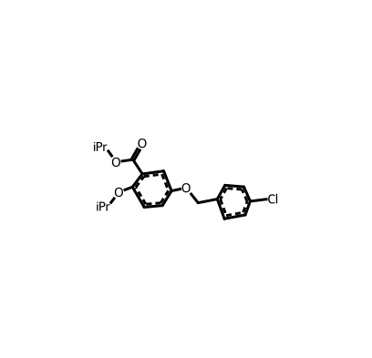 CC(C)OC(=O)c1cc(OCc2ccc(Cl)cc2)ccc1OC(C)C